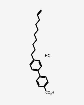 C=CCCCCCCCCc1ccc(-c2ccc(C(=O)O)cc2)cc1.Cl